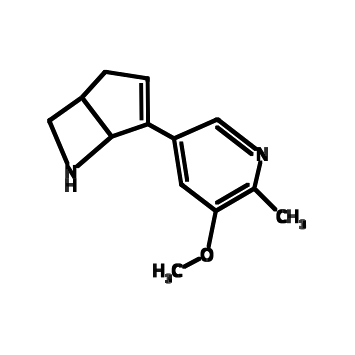 COc1cc(C2=CCC3CNC23)cnc1C